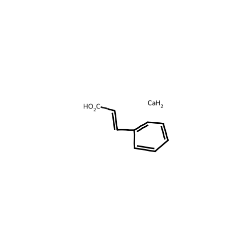 O=C(O)C=Cc1ccccc1.[CaH2]